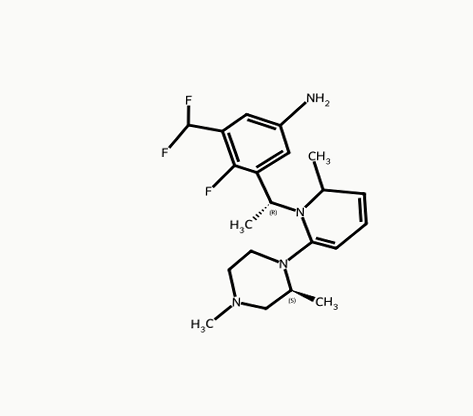 CC1C=CC=C(N2CCN(C)C[C@@H]2C)N1[C@H](C)c1cc(N)cc(C(F)F)c1F